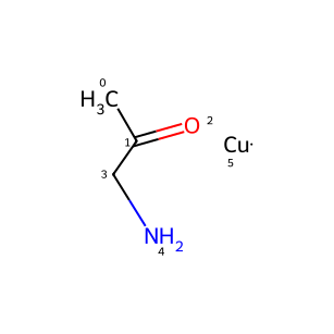 CC(=O)CN.[Cu]